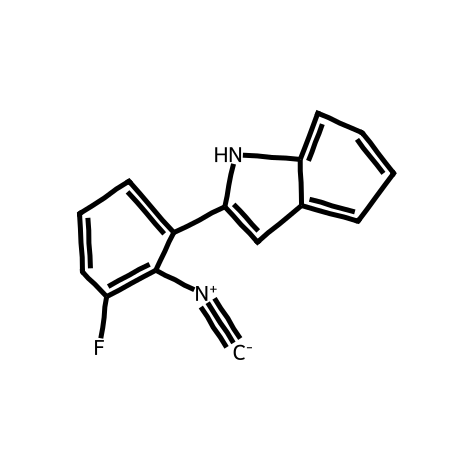 [C-]#[N+]c1c(F)cccc1-c1cc2ccccc2[nH]1